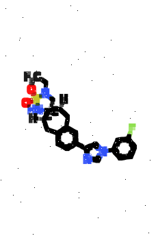 O=S1(=O)N[C@@]2(CN1CC(F)(F)F)[C@@H]1CC[C@H]2Cc2ccc(-c3cn(-c4cccc(F)c4)cn3)cc2C1